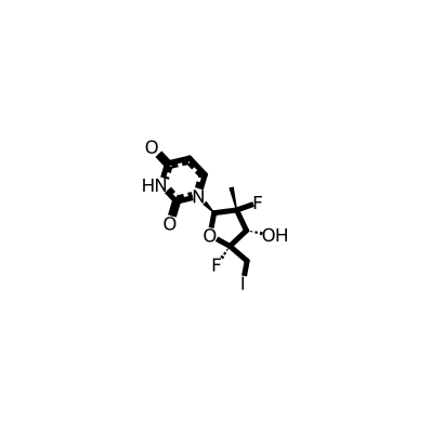 C[C@]1(F)[C@H](n2ccc(=O)[nH]c2=O)O[C@](F)(CI)[C@H]1O